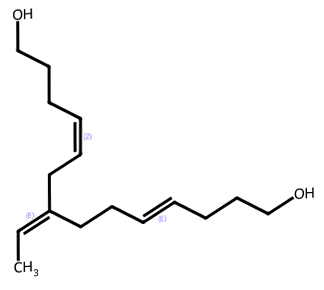 C/C=C(/C/C=C\CCCO)CC/C=C/CCCO